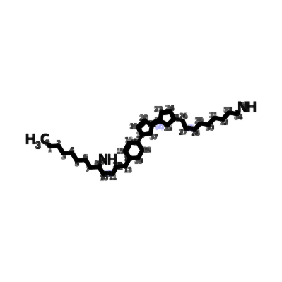 CCCCCCCCC(N)/C=C\CCC1C=C[C@@H](C2C=C/C(=C3\C=C[C@@H](C/C=C\CCCCCC=N)C3)C2)CC1